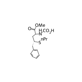 CCCS[C@H](Cc1ccccc1)CC(NC(=O)O)C(=O)OC